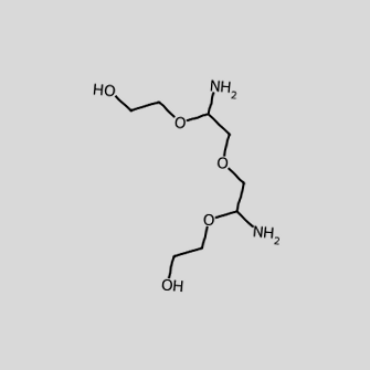 NC(COCC(N)OCCO)OCCO